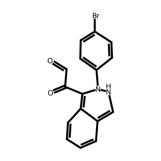 O=CC(=O)C1=c2ccccc2=CNN1c1ccc(Br)cc1